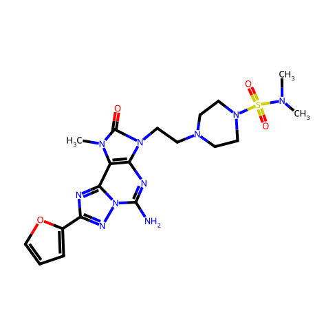 CN(C)S(=O)(=O)N1CCN(CCn2c(=O)n(C)c3c2nc(N)n2nc(-c4ccco4)nc32)CC1